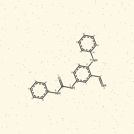 N=Cc1cc(NC(=O)Nc2ccccc2)ccc1Nc1ccccc1